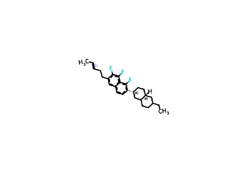 C/C=C/CCc1cc2ccc([C@@H]3CC[C@@H]4CC(CC)CCC4C3)c(F)c2c(F)c1F